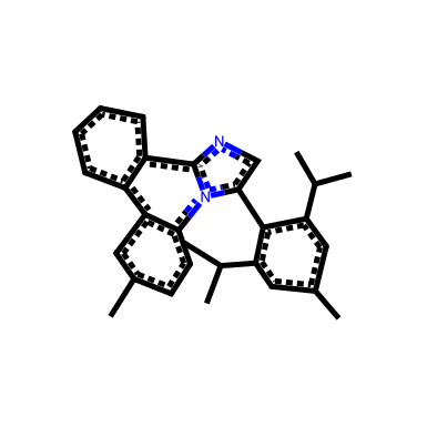 Cc1cc(C(C)C)c(-c2cnc3c4ccccc4c4cc(C)ccc4n23)c(C(C)C)c1